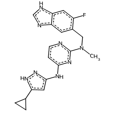 CN(Cc1cc2nc[nH]c2cc1F)c1nccc(Nc2cc(C3CC3)[nH]n2)n1